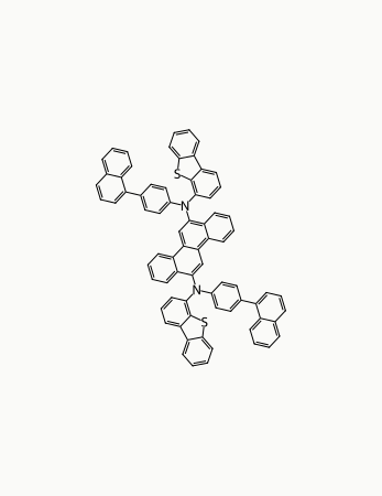 c1ccc2c(-c3ccc(N(c4cc5c6ccccc6c(N(c6ccc(-c7cccc8ccccc78)cc6)c6cccc7c6sc6ccccc67)cc5c5ccccc45)c4cccc5c4sc4ccccc45)cc3)cccc2c1